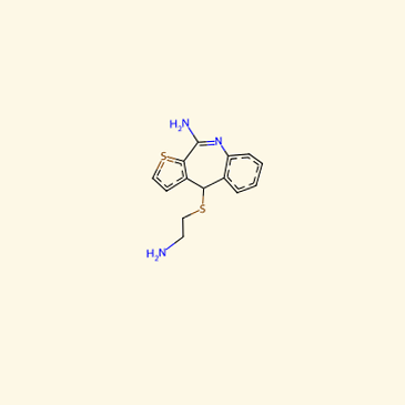 NCCSC1c2ccccc2N=C(N)c2sccc21